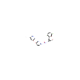 N#Cc1cncc(Oc2ccc(NC(=O)NC3[C@H]4COc5c(F)ccc(F)c5[C@@H]34)nc2)c1